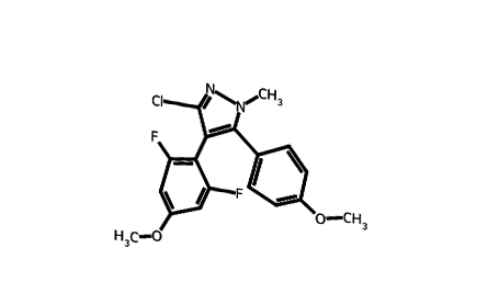 COc1ccc(-c2c(-c3c(F)cc(OC)cc3F)c(Cl)nn2C)cc1